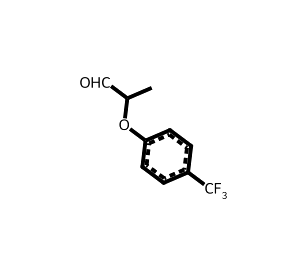 CC(C=O)Oc1ccc(C(F)(F)F)cc1